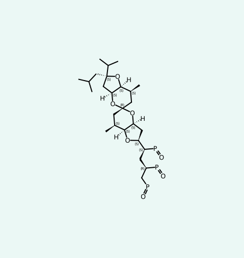 CC(C)C[C@@]1(C(C)C)C[C@@H]2O[C@]3(C[C@H](C)[C@@H]4O[C@H]([C@H](C[C@H](CP=O)P=O)P=O)C[C@@H]4O3)C[C@H](C)[C@@H]2O1